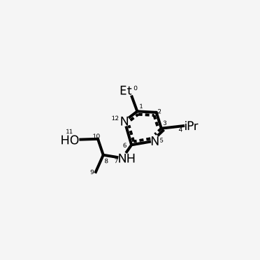 CCc1cc(C(C)C)nc(NC(C)CO)n1